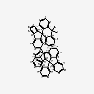 CC1(C)c2ccccc2C2(c3ccccc3-c3ccc(N(c4ccccc4)c4cccc5c4C4(c6ccccc6-c6ccccc64)c4ccccc4-5)cc32)c2ccccc21